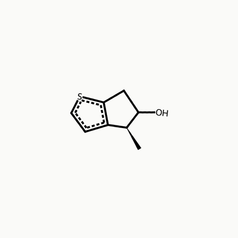 C[C@H]1c2ccsc2CC1O